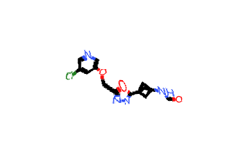 O=CNC12CC(c3nnc(COc4cncc(Cl)c4)o3)(C1)C2